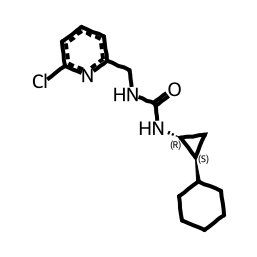 O=C(NCc1cccc(Cl)n1)N[C@@H]1C[C@H]1C1CCCCC1